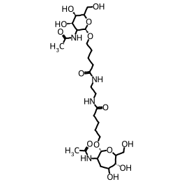 CC(=O)NC1CC(O)[C@@H](O)C(CO)O[C@H]1OCCCCC(=O)NCCNC(=O)CCCCO[C@@H]1OC(CO)[C@H](O)[C@H](O)C1NC(C)=O